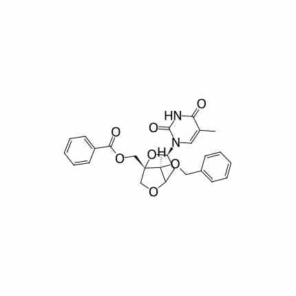 Cc1cn([C@H]2CC3OC[C@](COC(=O)c4ccccc4)(O2)[C@H]3OCc2ccccc2)c(=O)[nH]c1=O